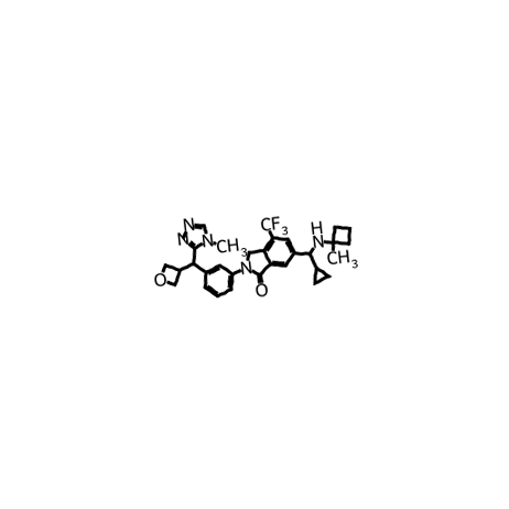 Cn1cnnc1C(c1cccc(N2Cc3c(cc(C(NC4(C)CCC4)C4CC4)cc3C(F)(F)F)C2=O)c1)C1COC1